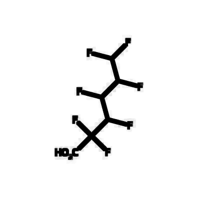 O=C(O)C(F)(F)C(F)C(F)C(F)C(F)F